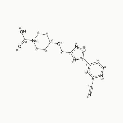 N#Cc1cc(-c2nc(COC3CCN(C(=O)O)CC3)no2)ccn1